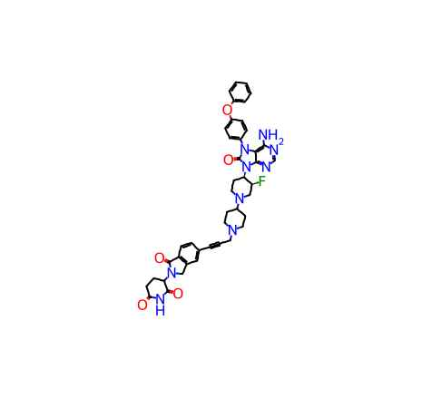 Nc1ncnc2c1n(-c1ccc(Oc3ccccc3)cc1)c(=O)n2[C@@H]1CCN(C2CCN(CC#Cc3ccc4c(c3)CN(C3CCC(=O)NC3=O)C4=O)CC2)C[C@@H]1F